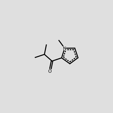 CC(C)C(=O)c1cccn1C